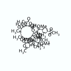 CC[C@H]1OC(=O)[C@H](C)[C@@H](O[C@H]2C[C@@](C)(OC)[C@@H](C)[C@H](C)O2)[C@H](C)[C@@H](O[C@@H]2O[C@H](C)C[C@H](N(C)CCc3cn([C@H](CF)[C@H](OC)c4ccc(S(C)(=O)=O)cc4)nn3)[C@H]2O)[C@](C)(OC)C[C@@H](C)C(=O)[C@H](C)[C@H]2N(C)C(=O)O[C@]12C